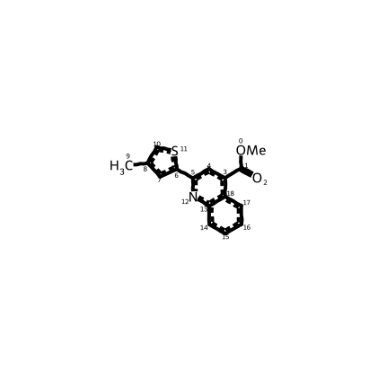 COC(=O)c1cc(-c2cc(C)cs2)nc2ccccc12